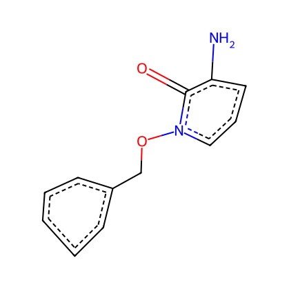 Nc1cccn(OCc2ccccc2)c1=O